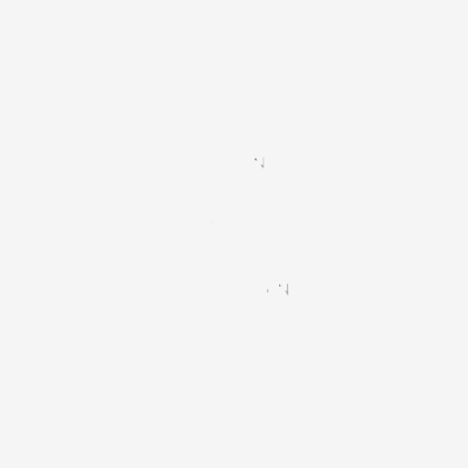 N#Cc1ccccc1C(=O)c1ccc2ccccn12